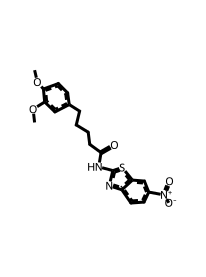 COc1ccc(CCCCC(=O)Nc2nc3ccc([N+](=O)[O-])cc3s2)cc1OC